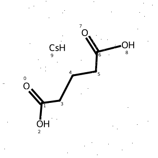 O=C(O)CCCC(=O)O.[CsH]